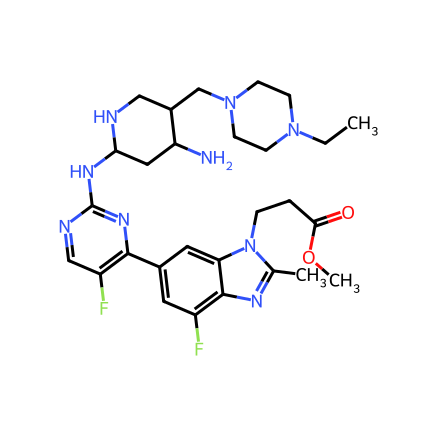 CCN1CCN(CC2CNC(Nc3ncc(F)c(-c4cc(F)c5nc(C)n(CCC(=O)OC)c5c4)n3)CC2N)CC1